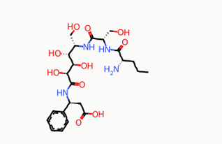 CCC[C@H](N)C(=O)N[C@@H](CO)C(=O)N[C@@H](CO)[C@@H](O)[C@@H](O)[C@H](O)C(=O)N[C@@H](CC(=O)O)c1ccccc1